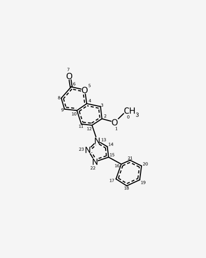 COc1cc2oc(=O)ccc2cc1-n1cc(-c2ccccc2)nn1